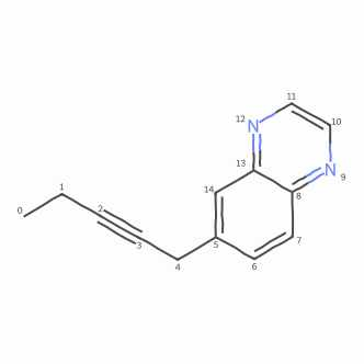 CCC#CCc1ccc2nccnc2c1